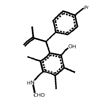 C=C(C)C(c1ccc(C(C)C)cc1)c1c(C)c(NC=O)c(C)c(C)c1O